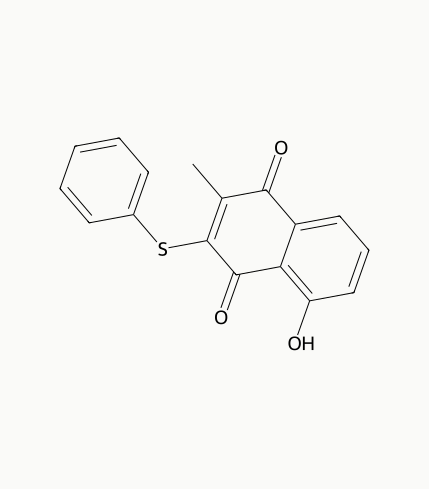 CC1=C(Sc2ccccc2)C(=O)c2c(O)cccc2C1=O